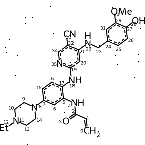 C=CC(=O)Nc1cc(N2CCN(CC)CC2)ccc1Nc1cc(NCc2ccc(O)c(OC)c2)c(C#N)cn1